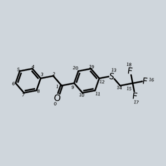 O=C(Cc1ccccc1)c1ccc(SCC(F)(F)F)cc1